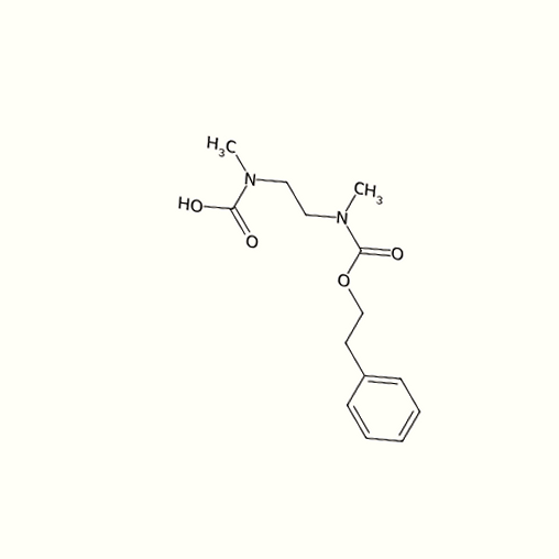 CN(CCN(C)C(=O)OCCc1ccccc1)C(=O)O